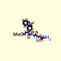 COCCN1C(=O)N(CC(=O)NCC(N)=O)C[C@]12CC[C@@](c1ccccc1)(N(C)C)CC2